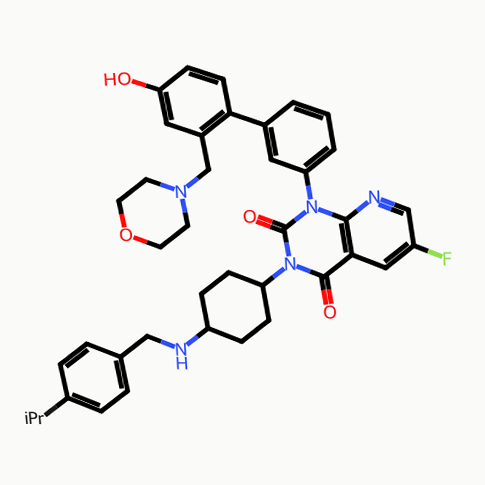 CC(C)c1ccc(CNC2CCC(n3c(=O)c4cc(F)cnc4n(-c4cccc(-c5ccc(O)cc5CN5CCOCC5)c4)c3=O)CC2)cc1